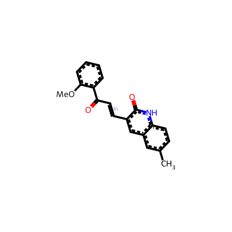 COc1ccccc1C(=O)/C=C/c1cc2cc(C)ccc2[nH]c1=O